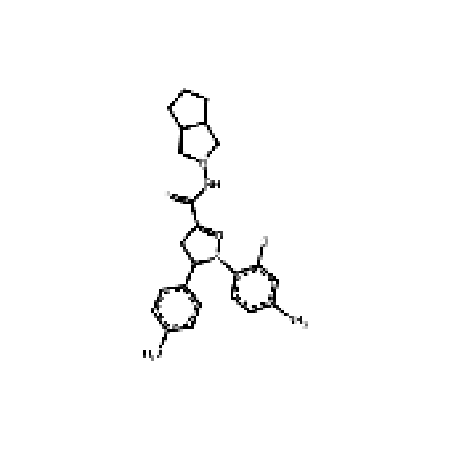 Bc1ccc(C2CC(C(=S)NN3CC4CCCC4C3)=NN2c2ccc(N)cc2Cl)cc1